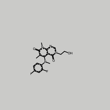 Cc1c(N(C)c2ccc(I)cc2F)c2c(=O)n(CCO)cnc2n(C)c1=O